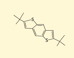 CC(C)(C)c1cc2cc3sc(C(C)(C)C)cc3cc2s1